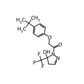 CC(C)(C)c1ccc(OCC(=O)N2N=CCC2(O)C(F)(F)F)cc1